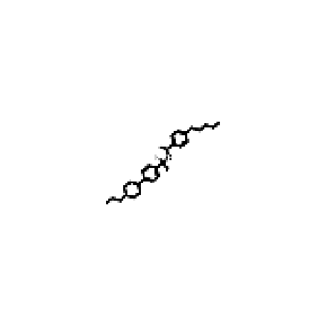 CCCCCc1ccc(C(C)OC(F)(F)c2ccc(C3CCC(CCC)CC3)cc2)cc1